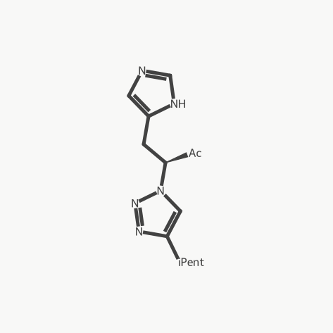 CCCC(C)c1cn([C@@H](Cc2cnc[nH]2)C(C)=O)nn1